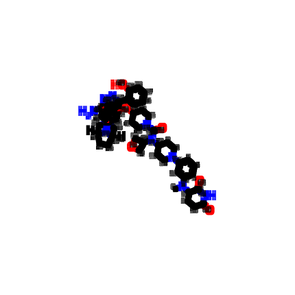 CN(c1cccc(N2CCC(N(C(=O)N3CCC(Oc4cccc(N5[C@@H]6CC[C@H]5CN(c5cc(-c7ccccc7O)nnc5N)C6)c4)CC3)C3COC3)CC2)c1)C1CCC(=O)NC1=O